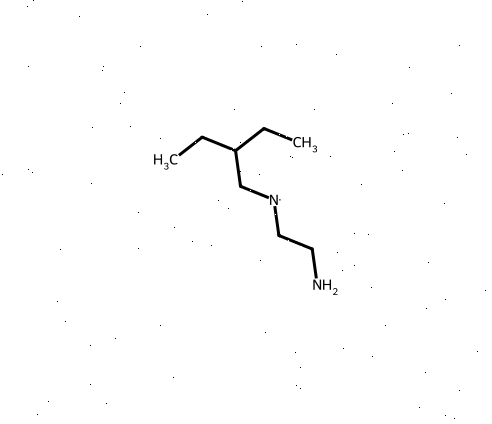 CCC(CC)C[N]CCN